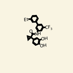 CCc1cccc(-c2cc(NC(=O)C3(c4ccc(O)c(O)c4)CC3)cc(C(F)(F)F)c2)c1